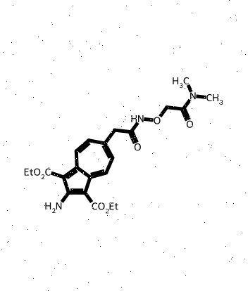 CCOC(=O)c1c2ccc(CC(=O)NOCC(=O)N(C)C)ccc-2c(C(=O)OCC)c1N